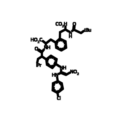 CC(C)CC(C(=O)NC(Cc1ccccc1CC(NC(=O)CC(C)(C)C)C(=O)O)C(=O)O)c1ccc(N/C(=C\[N+](=O)[O-])Nc2ccc(Cl)cc2)cc1